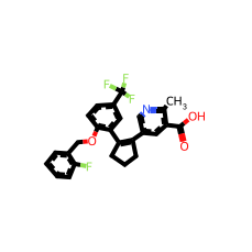 Cc1ncc(C2=C(c3cc(C(F)(F)F)ccc3OCc3ccccc3F)CCC2)cc1C(=O)O